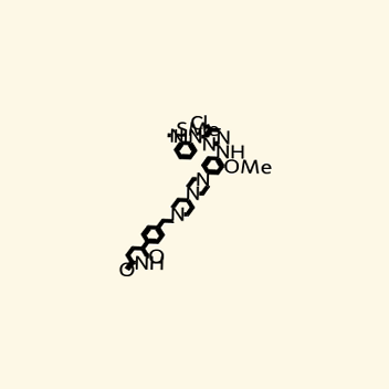 COc1cc(N2CCN(C3CCN(CCc4ccc(C5CCC(=O)NC5=O)cc4)CC3)CC2)ccc1Nc1ncc(Cl)c(Nc2ccccc2N(C)SC)n1